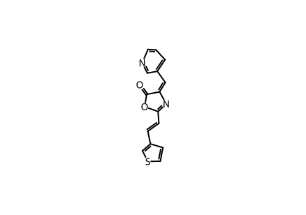 O=C1OC(C=Cc2ccsc2)=NC1=Cc1cccnc1